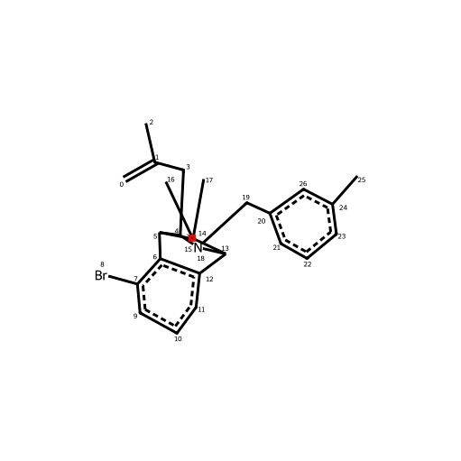 C=C(C)CC1C2c3c(Br)cccc3C(CC2(C)C)N1Cc1cccc(C)c1